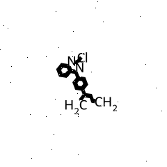 C=C/C=C(\C=C)c1ccc(-c2nc(Cl)nc3ccccc23)cc1